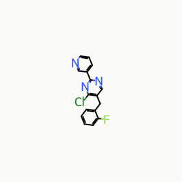 Fc1ccccc1Cc1cnc(-c2cccnc2)nc1Cl